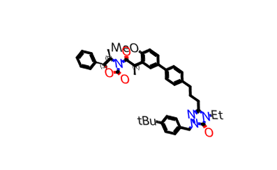 CCn1c(CCCc2ccc(-c3ccc(OC)c([C@@H](C)C(=O)N4C(=O)O[C@@H](c5ccccc5)[C@H]4C)c3)cc2)nn(Cc2ccc(C(C)(C)C)cc2)c1=O